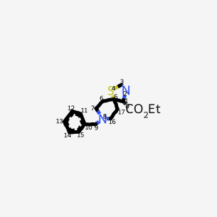 CCOC(=O)C1N=CSC12CCN(Cc1ccccc1)CC2